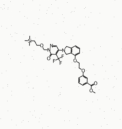 COC(=O)c1cccc(OCCOc2cccc3c2CN(c2cnn(COCC[Si](C)(C)C)c(=O)c2C(F)(F)F)C3)c1